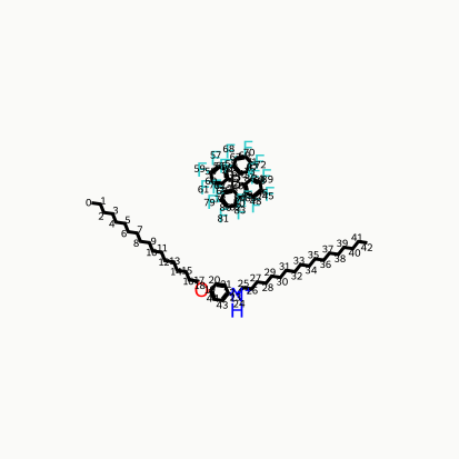 CCCCCCCCCCCCCCCCCCOc1ccc([NH+](C)CCCCCCCCCCCCCCCCCC)cc1.Fc1c(F)c(F)c([B-](c2c(F)c(F)c(F)c(F)c2F)(c2c(F)c(F)c(F)c(F)c2F)c2c(F)c(F)c(F)c(F)c2F)c(F)c1F